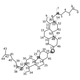 CC(C)CCC[C@@H](C)[C@H]1CCC2C3CCC4CC(OC5CC[C@@]6(C)C(CCC7C6CC[C@@]6(C)C7CC[C@@H]6[C@H](C)CCCC(C)C)C5)CC[C@]4(C)C3CC[C@@]21C